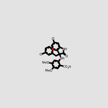 COc1cc(NC2(Cc3cccc(Cl)c3)C(=O)Nc3cc(Cl)ccc32)c(C(=O)O)cc1OC